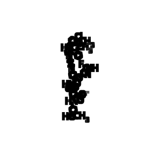 COc1cc(CN2CCN(C3CC4(C3)CN(c3ccc(C(=O)NS(=O)(=O)c5ccc(NCC6CCC(C)(O)CC6)c([N+](=O)[O-])c5)c(Oc5cnc6[nH]cc(F)c6c5)c3)C4)C(c3ccccc3C(C)C)C2)ccc1Cl